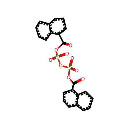 O=C(OS(=O)(=O)OS(=O)(=O)OC(=O)c1cccc2ccccc12)c1cccc2ccccc12